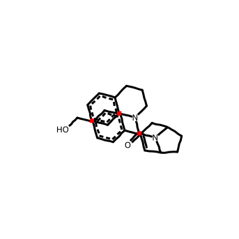 O=C(N1CCCc2ccccc21)N1C2C=C(c3ccc(CO)cc3)CC1CC2